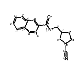 N#CN1CCC(CNC(=O)c2cc3ccccc3cn2)C1